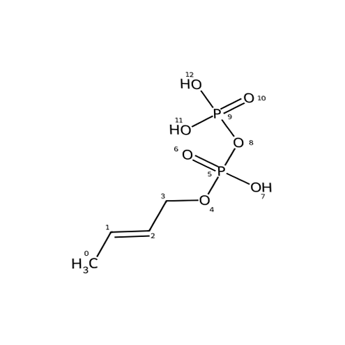 CC=CCOP(=O)(O)OP(=O)(O)O